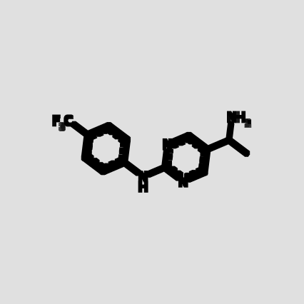 CC(N)c1cnc(Nc2ccc(C(F)(F)F)cc2)nc1